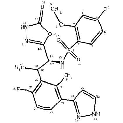 COc1cc(Cl)ccc1S(=O)(=O)N[C@H](c1n[nH]c(=O)o1)[C@H](C)c1c(F)ccc(-c2cc[nH]n2)c1C